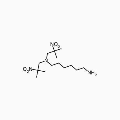 CC(C)(CN(CCCCCCN)CC(C)(C)[N+](=O)[O-])[N+](=O)[O-]